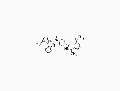 COc1cccc([C@@H](C)NC(=O)C2CCC(Nc3nc(N(C)C)c4ccccc4n3)CC2)c1